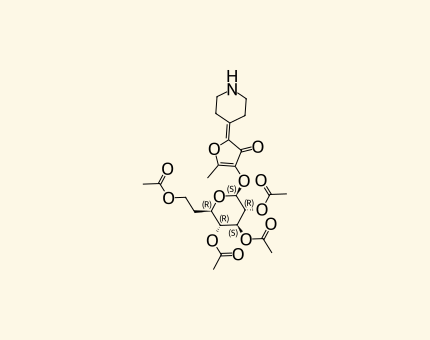 CC(=O)OCC[C@H]1O[C@@H](OC2=C(C)OC(=C3CCNCC3)C2=O)[C@H](OC(C)=O)[C@@H](OC(C)=O)[C@@H]1OC(C)=O